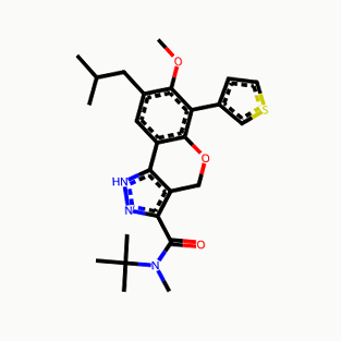 COc1c(CC(C)C)cc2c(c1-c1ccsc1)OCc1c(C(=O)N(C)C(C)(C)C)n[nH]c1-2